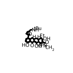 C=NC(=O)C1=C(O)[C@@H](CC)[C@@H]2C[C@@H]3Cc4c(-c5ccc(CNC(C)(C)C)o5)ccc(O)c4C(=O)C3=C(O)[C@]2(O)C1=O